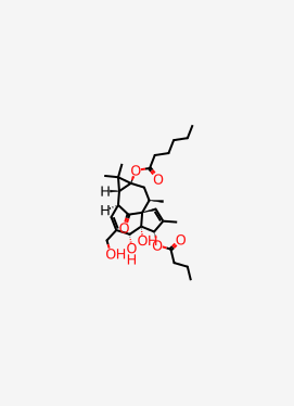 CCCCCC(=O)O[C@@]12C[C@@H](C)[C@]34C=C(C)[C@H](OC(=O)CCC)[C@@]3(O)[C@H](O)C(CO)=C[C@H](C4=O)[C@@H]1C2(C)C